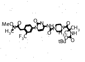 CON(C)C(=O)Cc1ccc(-n2ccc(NC(=O)N3CCN(C(=O)C(C)(C)NC(=O)OC(C)(C)C)CC3)nc2=O)cc1C(F)(F)F